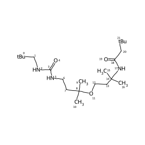 CC(C)(C)CNC(=O)NCCC(C)(C)OCCC(C)(C)NC(=O)CC(C)(C)C